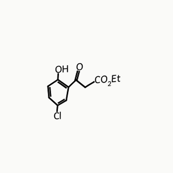 CCOC(=O)CC(=O)c1cc(Cl)ccc1O